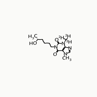 [2H]C([2H])([2H])n1c(=O)n(CCCC[C@@H](C)O)c(=O)c2c1ncn2C